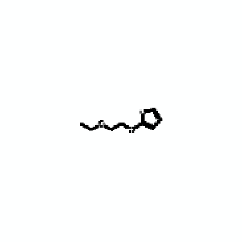 CCOCCOc1ccco1